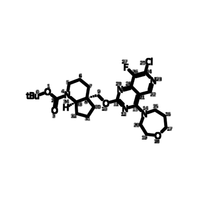 CC(C)(C)OC(=O)N1CCC[C@@]2(COc3nc(N4CCCOCC4)c4cnc(Cl)c(F)c4n3)CCC[C@@H]12